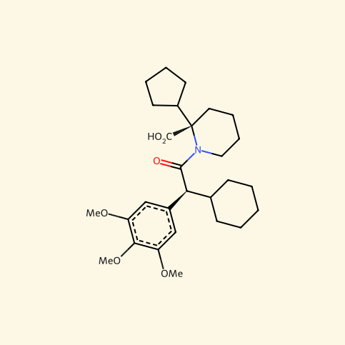 COc1cc([C@@H](C(=O)N2CCCC[C@@]2(C(=O)O)C2CCCC2)C2CCCCC2)cc(OC)c1OC